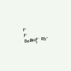 B.[Be+2].[F-].[F-].[F-].[Rb+]